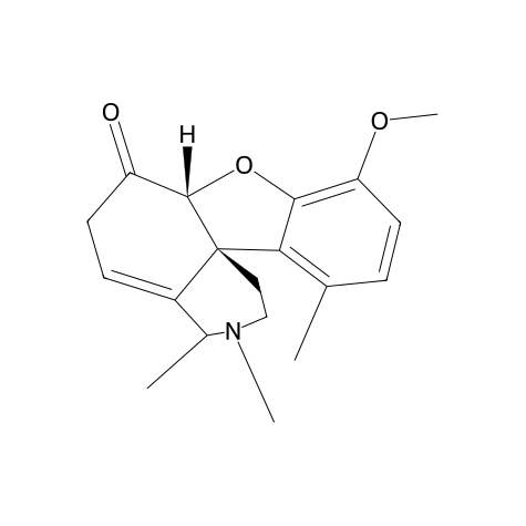 COc1ccc(C)c2c1O[C@H]1C(=O)CC=C3C(C)N(C)CC[C@]321